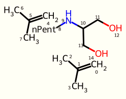 C=C(C)C.C=C(C)C.CCCCCNC(CO)CO